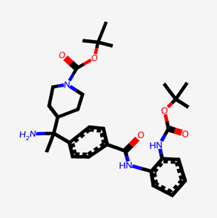 CC(C)(C)OC(=O)Nc1ccccc1NC(=O)c1ccc(C(C)(N)C2CCN(C(=O)OC(C)(C)C)CC2)cc1